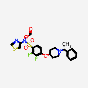 C[C@H](c1ccccc1)N1CCC(Oc2ccc(S(=O)(=O)N(OC=O)c3cscn3)c(F)c2F)CC1